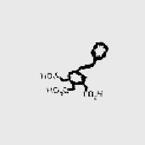 O=C(O)Cc1cc(C=Cc2ccccc2)cc(CC(=O)O)c1CC(=O)O